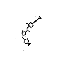 Cc1cc(C#CC2CC2)cnc1CN(C)c1cn(CC2OCC3(CC3)CO2)nn1